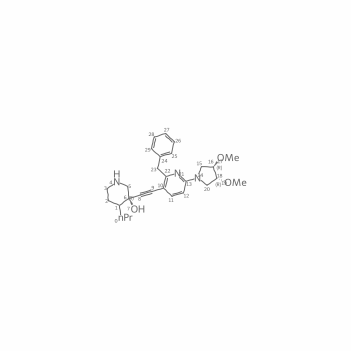 CCCC1CCNC[C@]1(O)C#Cc1ccc(N2C[C@@H](OC)[C@H](OC)C2)nc1Cc1ccccc1